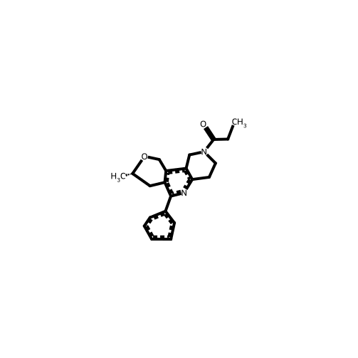 CCC(=O)N1CCc2nc(-c3ccccc3)c3c(c2C1)CO[C@@H](C)C3